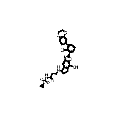 N#Cc1c2c(cc3nc(-c4cccc(-c5ccc6c(c5)OCCO6)c4Cl)oc13)C(NCCC(=O)NS(=O)(=O)C1CC1)CC2